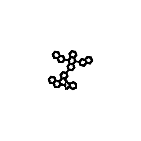 c1ccc2cc(-c3c4ccccc4c(-c4ccc5ccccc5c4)c4cc(-c5ccc6c7c8ccccc8ccc7c7nc8ccccc8n7c6c5)ccc34)ccc2c1